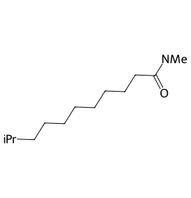 CNC(=O)CCCCCCCCC(C)C